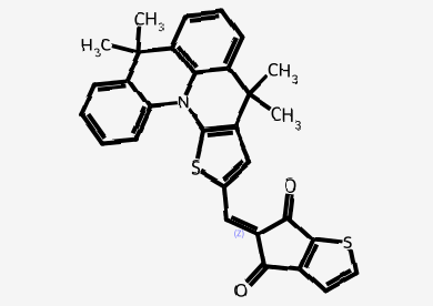 CC1(C)c2ccccc2N2c3sc(/C=C4/C(=O)c5ccsc5C4=O)cc3C(C)(C)c3cccc1c32